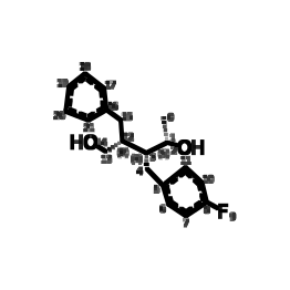 C[C@H](O)[C@H](Cc1ccc(F)cc1)[C@H](CO)Cc1ccccc1